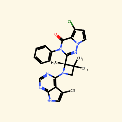 CC1(C)CN(c2ncnc3[nH]cc(C#N)c23)[C@]1(C)c1nn2ccc(Cl)c2c(=O)n1-c1ccccc1